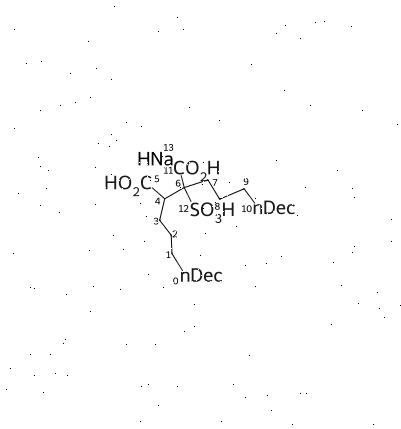 CCCCCCCCCCCCCC(C(=O)O)C(CCCCCCCCCCCCC)(C(=O)O)S(=O)(=O)O.[NaH]